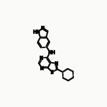 c1nc(Nc2ccc3[nH]ncc3c2)c2nc(C3CCCCC3)sc2n1